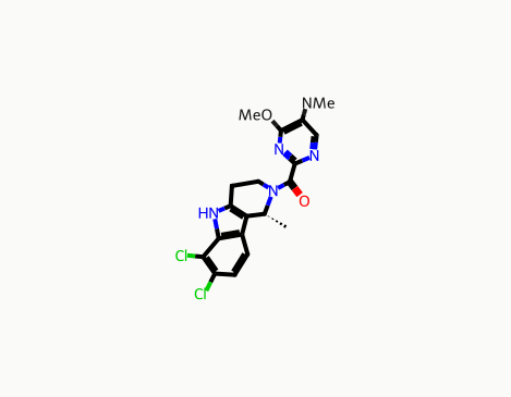 CNc1cnc(C(=O)N2CCc3[nH]c4c(Cl)c(Cl)ccc4c3[C@H]2C)nc1OC